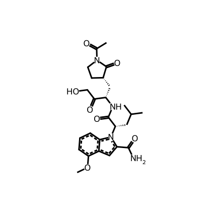 COc1cccc2c1cc(C(N)=O)n2[C@@H](CC(C)C)C(=O)N[C@@H](C[C@@H]1CCN(C(C)=O)C1=O)C(=O)CO